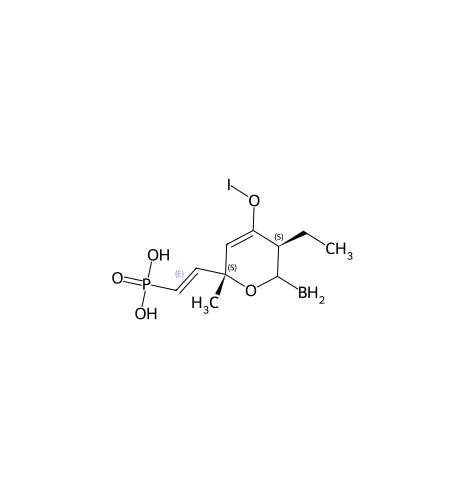 BC1O[C@](C)(/C=C/P(=O)(O)O)C=C(OI)[C@H]1CC